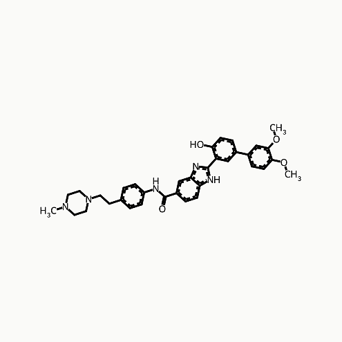 COc1ccc(-c2ccc(O)c(-c3nc4cc(C(=O)Nc5ccc(CCN6CCN(C)CC6)cc5)ccc4[nH]3)c2)cc1OC